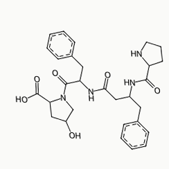 O=C(CC(Cc1ccccc1)NC(=O)C1CCCN1)NC(Cc1ccccc1)C(=O)N1CC(O)CC1C(=O)O